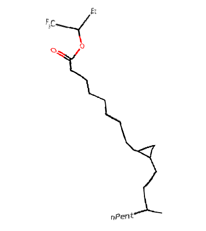 CCCCCC(C)CCC1CC1CCCCCCCC(=O)OC(CC)C(F)(F)F